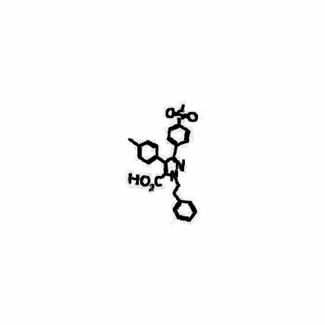 Cc1ccc(-c2c(-c3ccc(S(C)(=O)=O)cc3)nn(CCc3ccccc3)c2C(=O)O)cc1